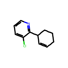 Clc1cccnc1C1C=CCCC1